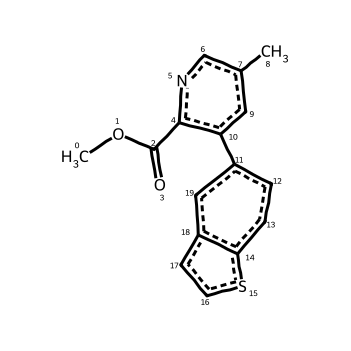 COC(=O)c1ncc(C)cc1-c1ccc2sccc2c1